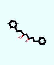 O=C(CCc1ccccc1)CC(O)/C=C/c1ccccc1